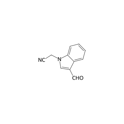 N#CCn1cc(C=O)c2ccccc21